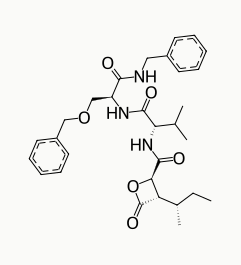 CC[C@H](C)[C@@H]1C(=O)O[C@H]1C(=O)N[C@H](C(=O)N[C@@H](COCc1ccccc1)C(=O)NCc1ccccc1)C(C)C